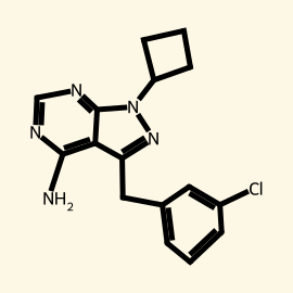 Nc1ncnc2c1c(Cc1cccc(Cl)c1)nn2C1CCC1